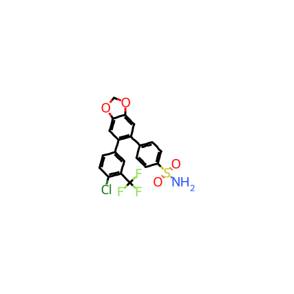 NS(=O)(=O)c1ccc(-c2cc3c(cc2-c2ccc(Cl)c(C(F)(F)F)c2)OCO3)cc1